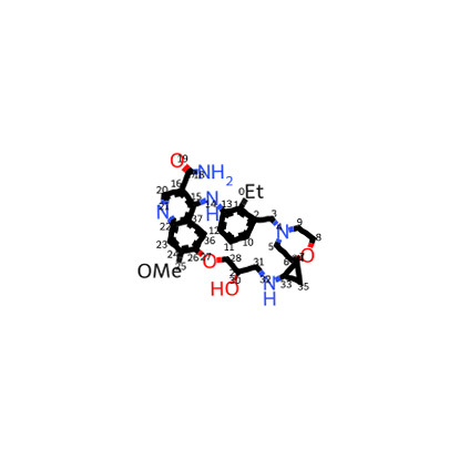 CCc1c(CN2CCOCC2)cccc1Nc1c(C(N)=O)cnc2cc(OC)c(OC[C@H](O)CNC3CC3)cc12